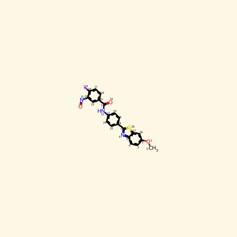 COc1ccc2nc(-c3ccc(NC(=O)c4ccc(I)c(N=O)c4)cc3)sc2c1